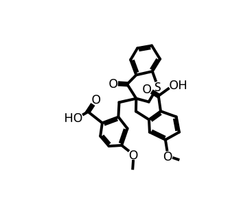 COc1ccc(C(=O)O)c(CC2(Cc3cc(OC)ccc3C(=O)O)CSc3ccccc3C2=O)c1